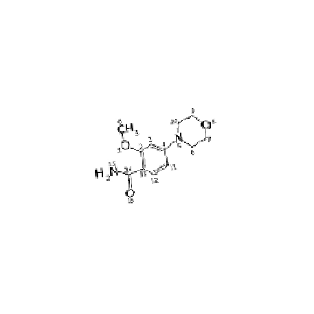 COc1cc(N2CCOCC2)ccc1C(N)=O